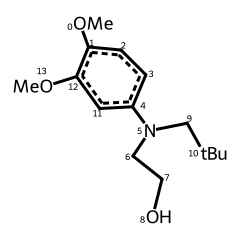 COc1ccc(N(CCO)CC(C)(C)C)cc1OC